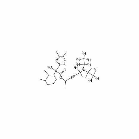 [2H]C(C)(C#CC(C)OC(=O)C(O)(c1ccc(C)c(C)c1)C1CCCC(C)C1C)N(C([2H])([2H])C([2H])([2H])[2H])C(C)(C)C([2H])([2H])[2H]